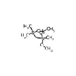 CO[Si](C)(C[Si](C)(C)C)OC